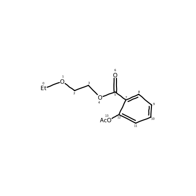 CCOCCOC(=O)c1ccccc1OC(C)=O